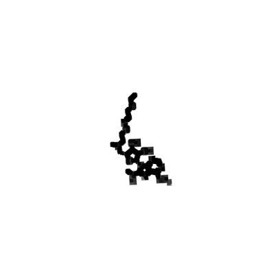 CCOCC=NOCCN(C)C[C@H]1O[C@@H](n2c(NC)nc3c(N)ncnc32)C(O)C1O